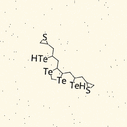 [TeH]C(CC1CS1)CC1[Te]C[Te]C1CC([TeH])CC1CS1